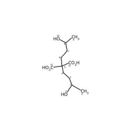 CC(O)CCC(CCC(C)O)(C(=O)O)C(=O)O